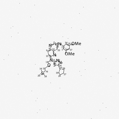 COc1cc(Nc2cnc3ccc(N(COCC[Si](C)(C)C)c4nnc(C5CCCC5)s4)nc3c2)cc(OC)c1